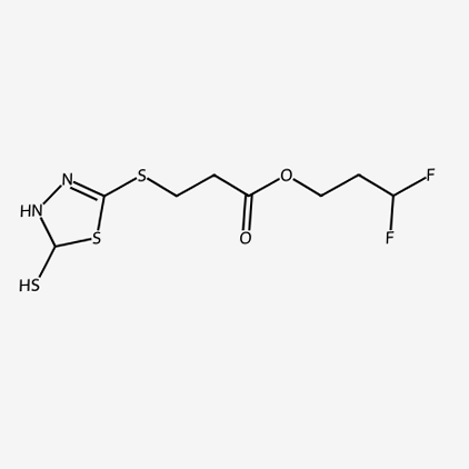 O=C(CCSC1=NNC(S)S1)OCCC(F)F